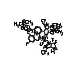 CN(c1nn(CC(F)(F)F)c2c(-c3ccc(CCC(C)(C)S(C)(=O)=O)nc3[C@H](Cc3cc(F)cc(F)c3)NC(=O)Cn3nc(C(F)(F)F)c4c3C(F)(F)C3C[C@H]43)ccc(Cl)c12)S(C)(=O)=O